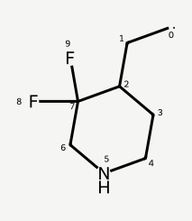 [CH2]CC1CCNCC1(F)F